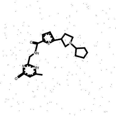 Cc1cc(=O)nc(CNC(=O)c2ccc(C3CCN(C4CCCC4)C3)s2)[nH]1